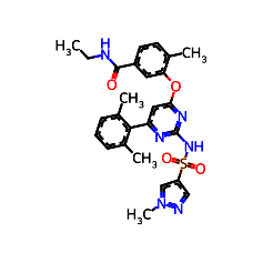 CCNC(=O)c1ccc(C)c(Oc2cc(-c3c(C)cccc3C)nc(NS(=O)(=O)c3cnn(C)c3)n2)c1